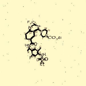 CCOC(=O)N1CCN(c2nc(C(F)(F)F)nc3ccc(C(=O)NC(C)c4cc(C)c(NS(=O)(=O)CC)cc4F)cc23)CC1